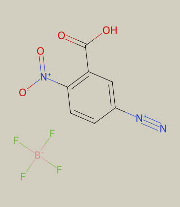 F[B-](F)(F)F.N#[N+]c1ccc([N+](=O)[O-])c(C(=O)O)c1